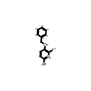 Fc1nc(Br)ccc1OCc1ccccc1